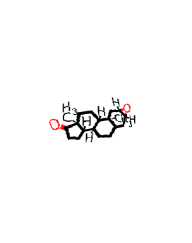 C[C@]12C[C@@H]3O[C@@H]3CC1CC[C@@H]1[C@@H]2CC[C@]2(C)C(=O)CC[C@@H]12